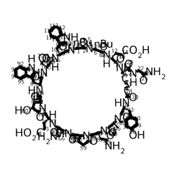 CCCC[C@H]1C(=O)N(C)[C@@H](CCCC)C(=O)N[C@@H](CCC(=O)O)C(=O)N[C@H](C(=O)NCC(N)=O)CSCC(=O)N[C@@H](Cc2ccc(O)cc2)C(=O)N(C)[C@@H](C)C(=O)N[C@@H](CC(N)=O)C(=O)N2CCC[C@H]2C(=O)N[C@@H](CN)C(=O)N[C@@H](CCC(=O)O)C(=O)N2C[C@H](O)C[C@H]2C(=O)N[C@@H](Cc2c[nH]c3ccccc23)C(=O)N[C@@H](CO)C(=O)N[C@@H](Cc2c[nH]c3ccccc23)C(=O)N1C